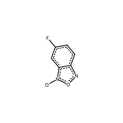 [O-][n+]1onc2ccc(F)cc21